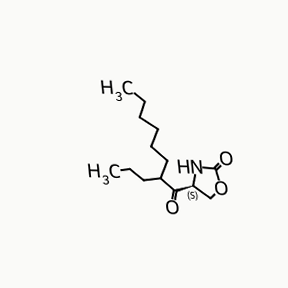 CCCCCCC(CCC)C(=O)[C@@H]1COC(=O)N1